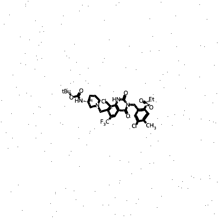 CCS(=O)(=O)c1cc(C)c(Cl)cc1Cn1c(=O)[nH]c2c(Cl)c(CN3CCC[C@@H](NC(=O)OC(C)(C)C)C3)c(C(F)(F)F)cc2c1=O